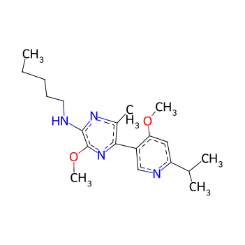 CCCCCNc1nc(C)c(-c2cnc(C(C)C)cc2OC)nc1OC